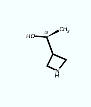 C[C@H](O)C1CNC1